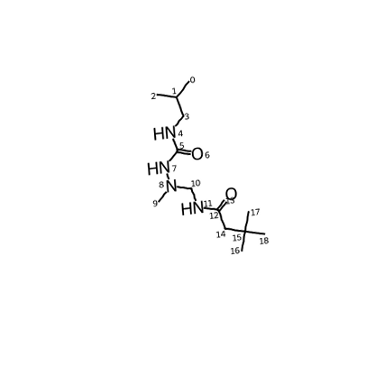 CC(C)CNC(=O)NN(C)CNC(=O)CC(C)(C)C